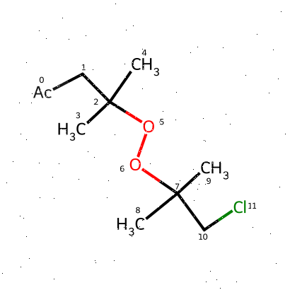 CC(=O)CC(C)(C)OOC(C)(C)CCl